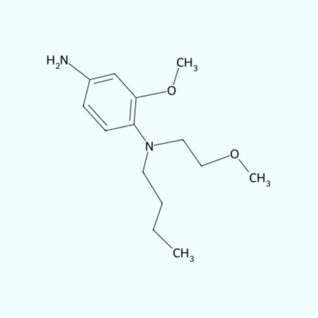 CCCCN(CCOC)c1ccc(N)cc1OC